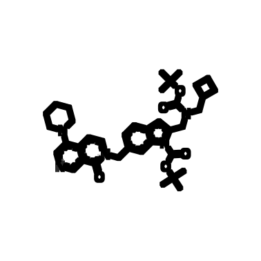 CC(C)(C)OC(=O)N(Cc1cc2ccc(Cn3ccc4c(N5CCCCC5)cncc4c3=O)cc2n1C(=O)OC(C)(C)C)CC1CCC1